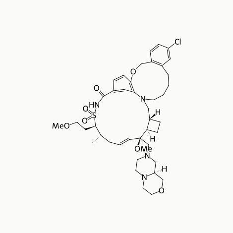 COCC[C@@H]1[C@@H](C)C/C=C/[C@](CN2CCN3CCOC[C@@H]3C2)(OC)[C@@H]2CC[C@H]2CN2CCCCc3cc(Cl)ccc3COc3ccc(cc32)C(=O)NS1(=O)=O